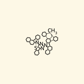 CC1c2ccccc2-c2cc3c(c4c2CC1c1ccccc1-4)c1ccc2ccccc2c1n3-c1nc(-n2c3ccccc3c3c4ccccc4ccc32)c2sc3ccccc3c2n1